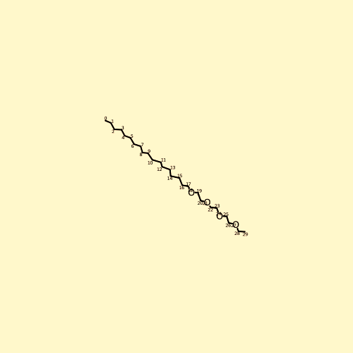 CCCCCCCCCCCCCCCCCCO[CH]COCCOCCOCC